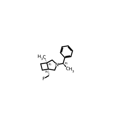 C[C@H](c1ccccc1)N1C[C@]2(C)CC[C@]2(CF)C1